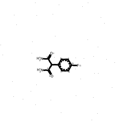 NC(=O)C(C(N)=O)c1ccc(F)cc1